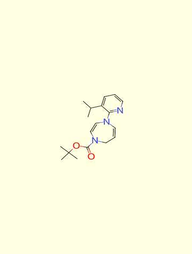 CC(C)c1cccnc1N1C=CCN(C(=O)OC(C)(C)C)C=C1